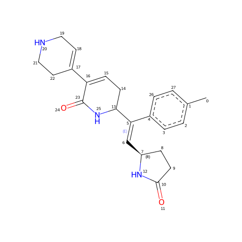 Cc1ccc(/C(=C\[C@H]2CCC(=O)N2)C2CC=C(C3=CCNCC3)C(=O)N2)cc1